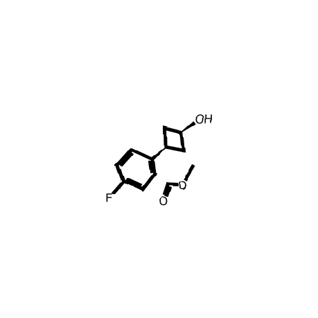 COC=O.O[C@H]1C[C@@H](c2ccc(F)cc2)C1